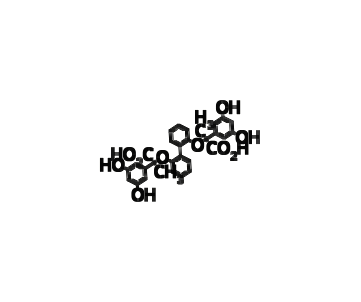 CC(Oc1ccccc1-c1ccccc1OC(C)(C(=O)O)c1cc(O)cc(O)c1)(C(=O)O)c1cc(O)cc(O)c1